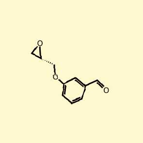 O=Cc1cccc(OC[C@@H]2CO2)c1